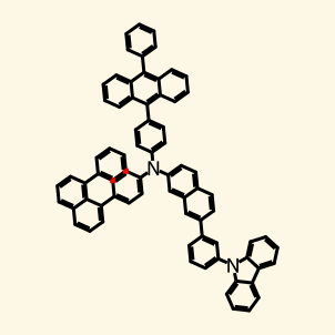 c1ccc(-c2c3ccccc3c(-c3ccc(N(c4ccc(-c5cccc6cccc(-c7ccccc7)c56)cc4)c4ccc5ccc(-c6cccc(-n7c8ccccc8c8ccccc87)c6)cc5c4)cc3)c3ccccc23)cc1